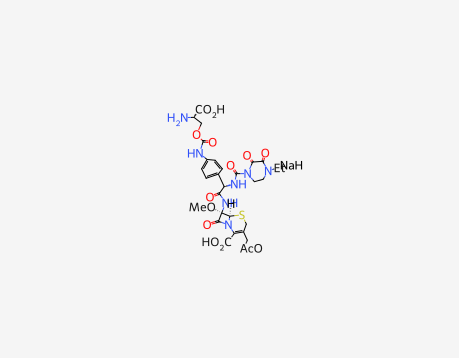 CCN1CCN(C(=O)N[C@@H](C(=O)N[C@]2(OC)C(=O)N3C(C(=O)O)=C(COC(C)=O)CS[C@@H]32)c2ccc(NC(=O)OC[C@@H](N)C(=O)O)cc2)C(=O)C1=O.[NaH]